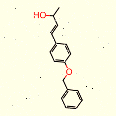 CC(O)C=Cc1ccc(OCc2ccccc2)cc1